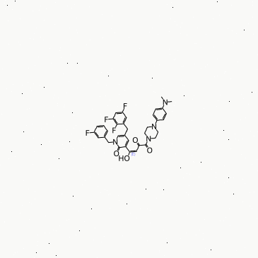 CN(C)c1ccc(N2CCN(C(=O)C(=O)/C=C(/O)c3cc(Cc4cc(F)cc(F)c4F)cn(Cc4cccc(F)c4)c3=O)CC2)cc1